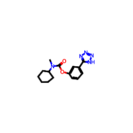 CN(C(=O)Oc1cccc(-c2nnn[nH]2)c1)C1CCCCC1